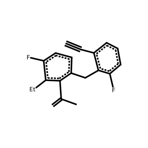 C#Cc1cccc(F)c1Cc1ccc(F)c(CC)c1C(=C)C